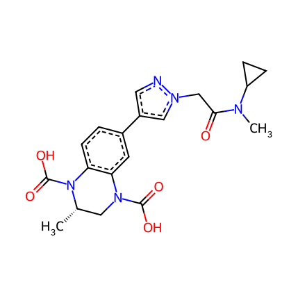 C[C@H]1CN(C(=O)O)c2cc(-c3cnn(CC(=O)N(C)C4CC4)c3)ccc2N1C(=O)O